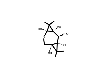 CC(=O)O[C@H]1[C@@]2(O)C(C)(C)[C@@]2(O)CO[C@@]2(O)C(C)(C)[C@@]12O